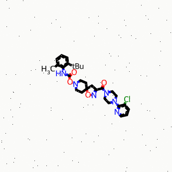 Cc1cccc(C(C)(C)C)c1NC(=O)ON1CCC2(CC1)CC(C(=O)N1CCN(c3ncccc3Cl)CC1)=NO2